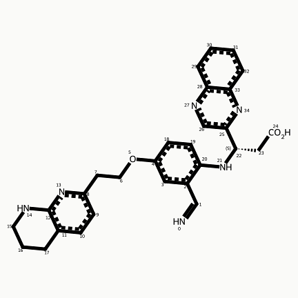 N=Cc1cc(OCCc2ccc3c(n2)NCCC3)ccc1N[C@@H](CC(=O)O)c1cnc2ccccc2n1